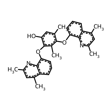 Cc1cc(C)c2cccc(Oc3c(C)cc(O)c(Oc4cccc5c(C)cc(C)nc45)c3C)c2n1